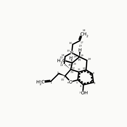 C=CC[C@@H]1Oc2c(O)ccc3c2[C@@]12CCN(CC=C)[C@H](C3)[C@@H]2C